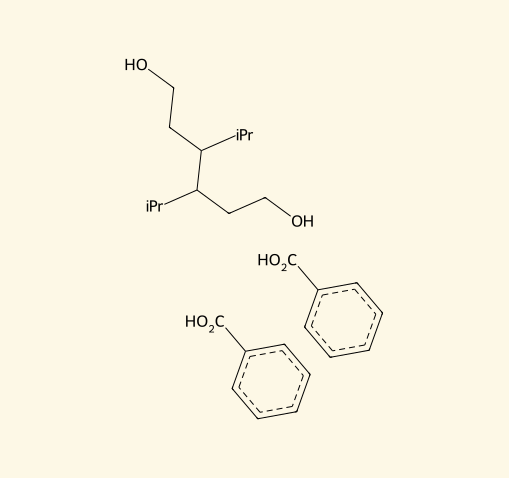 CC(C)C(CCO)C(CCO)C(C)C.O=C(O)c1ccccc1.O=C(O)c1ccccc1